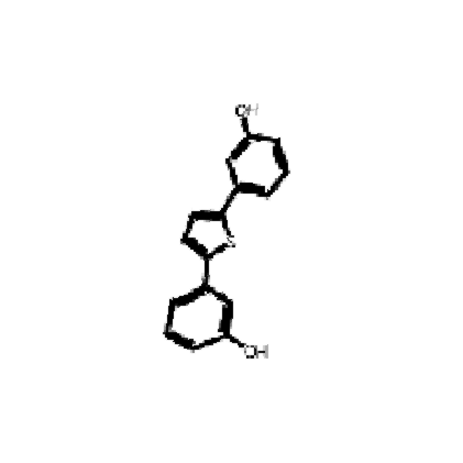 Oc1cccc(-c2ccc(-c3cccc(O)c3)s2)c1